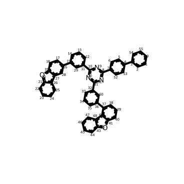 c1ccc(-c2ccc(-c3nc(-c4cccc(-c5ccc6oc7ccccc7c6c5)c4)nc(-c4cccc(-c5cccc6oc7ccccc7c56)c4)n3)cc2)cc1